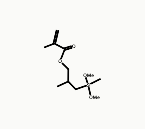 C=C(C)C(=O)OCC(C)C[Si](C)(OC)OC